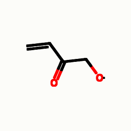 C=CC(=O)C[O]